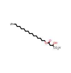 CC(C)CCCCCCCCCCCCCCCOC(=O)CC(O)C(=O)O